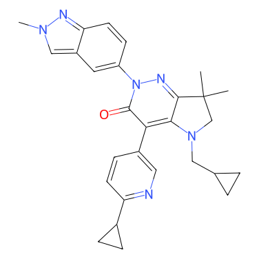 Cn1cc2cc(-n3nc4c(c(-c5ccc(C6CC6)nc5)c3=O)N(CC3CC3)CC4(C)C)ccc2n1